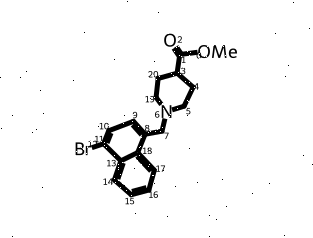 COC(=O)C1CCN(Cc2ccc(Br)c3ccccc23)CC1